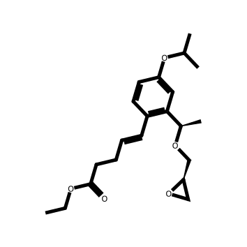 CCOC(=O)CC/C=C/c1ccc(OC(C)C)cc1[C@@H](C)OC[C@H]1CO1